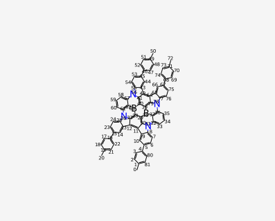 Cc1ccc(-c2ccc3c(c2)c2c4c5cc(-c6ccc(C)cc6)ccc5n5c4c4c6c2n3-c2cccc3c2B6c2c6c7c(c8cc(-c9ccc(C)cc9)ccc8n7-c7cccc-5c7B46)c4c5cc(-c6ccc(C)cc6)ccc5n-3c24)cc1